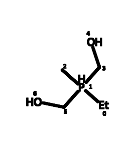 CC[PH](C)(CO)CO